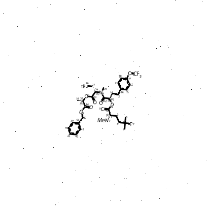 CN[C@@H](CCC(C)(C)F)C(=O)O[C@H](CCc1ccc(OC(F)(F)F)cc1)C(=O)N(C)[C@@H](CC(C)(C)C)C(=O)O[C@H](C)C(=O)OCc1ccccc1